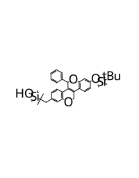 CC(C)(Cc1ccc2c(c1)OCC1=C2C(c2ccccc2)Oc2cc(O[Si](C)(C)C(C)(C)C)ccc21)[Si](C)(C)O